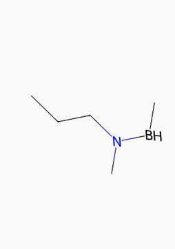 CBN(C)CCC